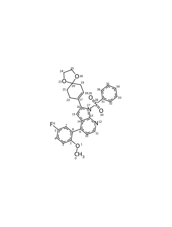 COc1ccc(F)cc1-c1ccnc2c1cc(C1=CCC3(CC1)OCCO3)n2S(=O)(=O)c1ccccc1